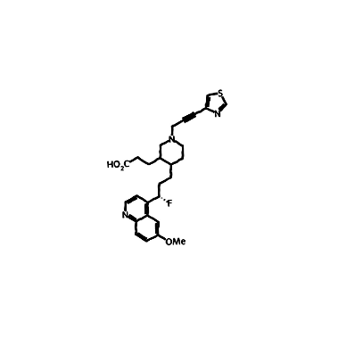 COc1ccc2nccc([C@@H](F)CCC3CCN(CC#Cc4cscn4)CC3CCC(=O)O)c2c1